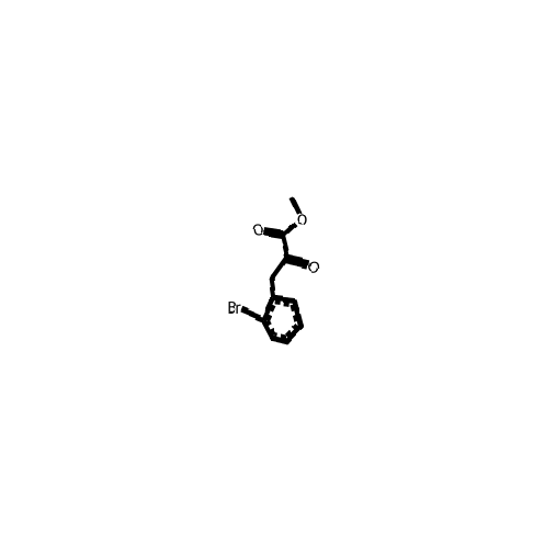 COC(=O)C(=O)Cc1ccccc1Br